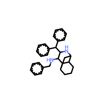 c1ccc(CNC2C(C(c3ccccc3)c3ccccc3)NC3CC4CCCC3C42)cc1